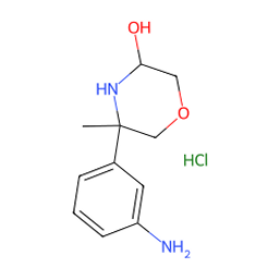 CC1(c2cccc(N)c2)COCC(O)N1.Cl